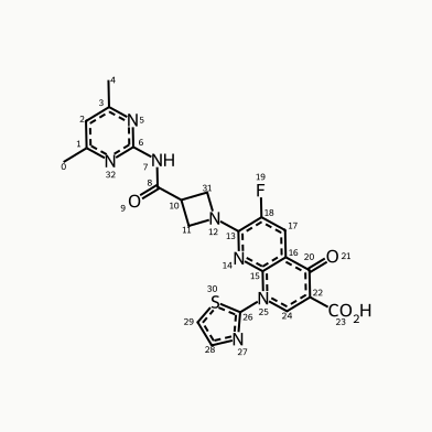 Cc1cc(C)nc(NC(=O)C2CN(c3nc4c(cc3F)c(=O)c(C(=O)O)cn4-c3nccs3)C2)n1